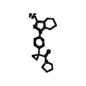 O=C(N1CCCC1)C1(c2ccc(-n3nc(C(F)(F)F)c4c3CCCC4)cc2)CC1